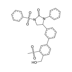 CS(=O)(=O)c1cc(-c2cccc(C3CN(S(=O)(=O)c4ccccc4)C(=O)N3c3ccccc3)c2)ccc1CO